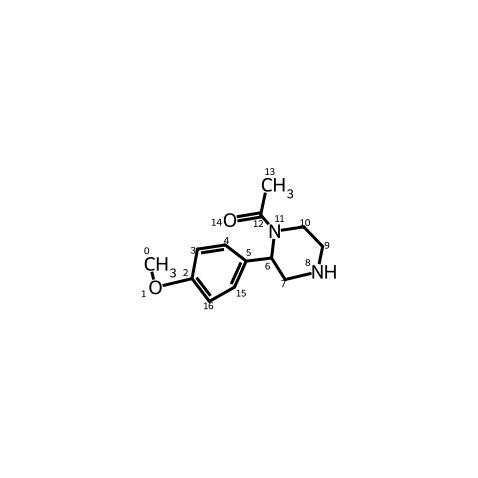 COc1ccc(C2CNCCN2C(C)=O)cc1